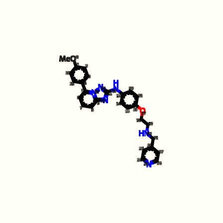 COc1ccc(-c2cccc3nc(Nc4ccc(OCCNCc5ccncc5)cc4)nn23)cc1